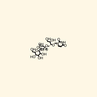 O=c1ccn(CO[C@H](COP(=O)(O)CP(=O)(O)O[C@H]2OC(CO)[C@H](O)C(O)C2O)C(O)CO)c(=O)[nH]1